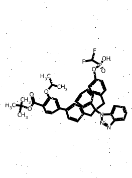 CC(C)Oc1cc(-c2ccc(CC(Cc3ccc(OP(=O)(O)C(F)F)cc3)(c3ccccc3)n3nnc4ccccc43)cc2)ccc1C(=O)OC(C)(C)C